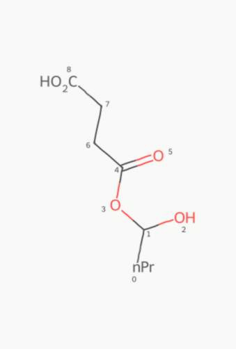 CCCC(O)OC(=O)CCC(=O)O